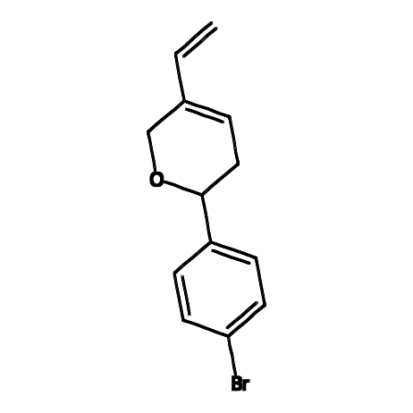 C=CC1=CCC(c2ccc(Br)cc2)OC1